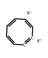 [C-]1=[C-]\C=C/C=C\C=C/1.[K+].[K+]